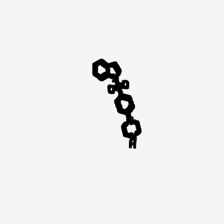 O=S(=O)(c1ccc(N2CCNCC2)cc1)n1ccc2ccccc21